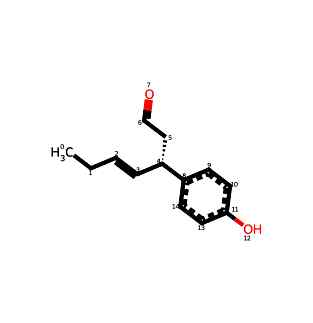 CC/C=C/[C@H](CC=O)c1ccc(O)cc1